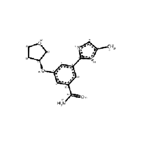 Cc1cnc(-c2cc(O[C@H]3CCOC3)cc(C(N)=O)c2)s1